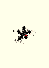 Cc1cc(C)c(-c2ccc3c(c2)c2cc(-c4c(C)cc(C)cc4C)ccc2n3-c2cc(-c3c(C#N)cccc3C(F)(F)F)cc(-n3c4ccc(-c5c(C)cc(C)cc5C)cc4c4cc(-c5c(C)cc(C)cc5C)ccc43)c2C#N)c(C)c1